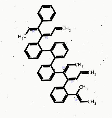 C=C/C=C(\C(=C/C)c1ccccc1-c1ccccc1-c1ccccc1C(=C/C=C)/C(=C\C)c1ccccc1)c1ccccc1/C(C)=C/C